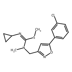 CS/C(=N/C1CC1)N(C)Cc1cc(-c2cccc(Cl)c2)on1